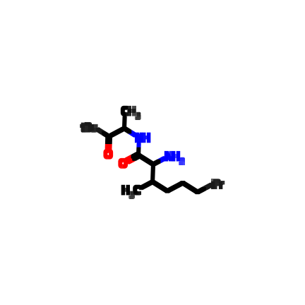 CC(C)CCCC(C)C(N)C(=O)NC(C)C(=O)C(C)(C)C